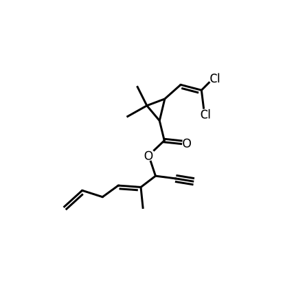 C#CC(OC(=O)C1C(C=C(Cl)Cl)C1(C)C)C(C)=CCC=C